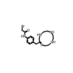 O=C(CBr)Nc1ccc(CC2=NCCNCCNCCNC2)cc1